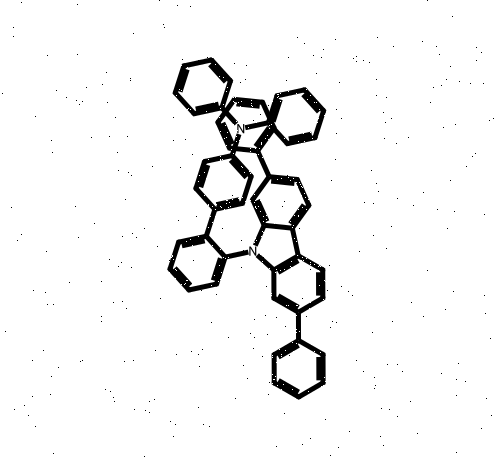 c1ccc(-c2ccc3c4ccc(-c5ccccc5)cc4n(-c4ccccc4-c4ccc(N(c5ccccc5)c5ccccc5)cc4)c3c2)cc1